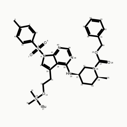 Cc1ccc(S(=O)(=O)n2cc(CCO[Si](C)(C)C(C)(C)C)c3c(N[C@@H]4CC[C@H](C)N(C(=O)OCc5ccccc5)C4)ncnc32)cc1